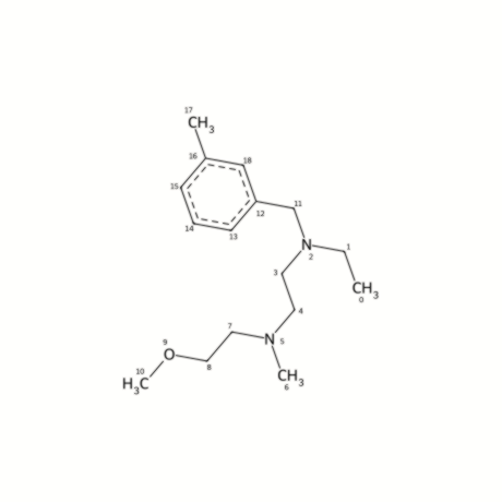 CCN(CCN(C)CCOC)Cc1cccc(C)c1